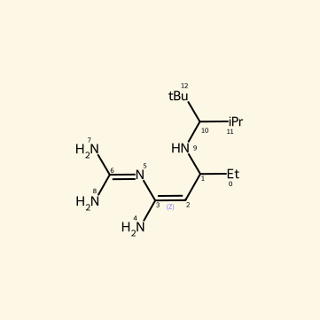 CCC(/C=C(/N)N=C(N)N)NC(C(C)C)C(C)(C)C